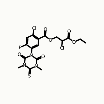 CCOC(=O)C(Cl)COC(=O)c1cc(-n2c(=O)n(C)c(=S)n(C)c2=O)c(F)cc1Cl